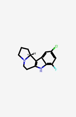 Fc1cc(Cl)cc2c3c([nH]c12)CCN1CCC[C@H]31